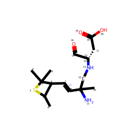 CC1SC(C)(C)C1/C=C/C(C)(N)CN[C@H](C=O)CC(=O)O